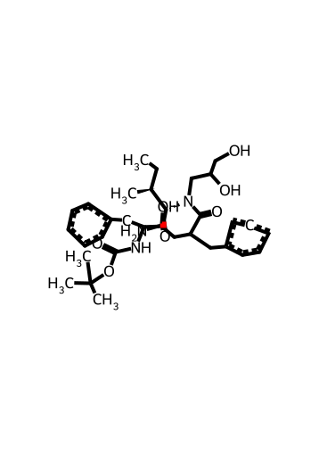 CC[C@H](C)[C@@H](C(N)=O)N(CC(O)CO)C(=O)C(Cc1ccccc1)CC(O)C(Cc1ccccc1)NC(=O)OC(C)(C)C